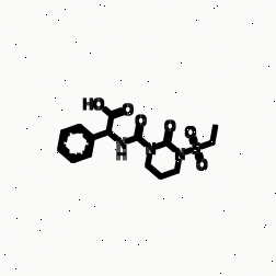 CCS(=O)(=O)N1CCCN(C(=O)NC(C(=O)O)c2ccccc2)C1=O